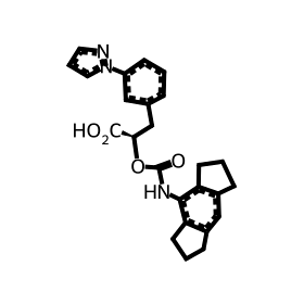 O=C(Nc1c2c(cc3c1CCC3)CCC2)O[C@H](Cc1cccc(-n2cccn2)c1)C(=O)O